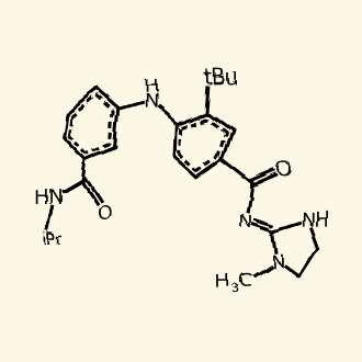 CC(C)NC(=O)c1cccc(Nc2ccc(C(=O)/N=C3\NCCN3C)cc2C(C)(C)C)c1